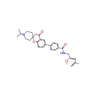 C=C(C)/C=C(/CNC(=O)c1ccc(-c2ccc3c(c2)C(=O)CC2(CCN(C(C)C)CC2)O3)cc1)OC